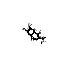 O=[N+]([O-])c1cnc2cc(F)c(Br)cc2c1Cl